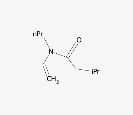 C=CN(CCC)C(=O)CC(C)C